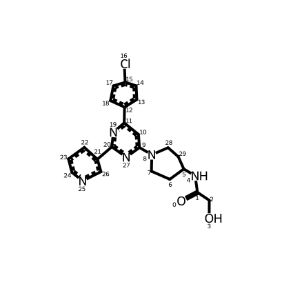 O=C(CO)NC1CCN(c2cc(-c3ccc(Cl)cc3)nc(-c3cccnc3)n2)CC1